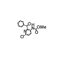 COC(=O)Nc1ccc(Cl)nc1C(=O)c1ccccc1